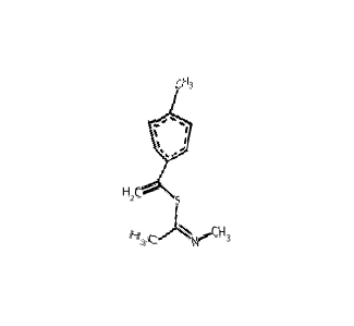 C=C(S/C(C)=N\C)c1ccc(C)cc1